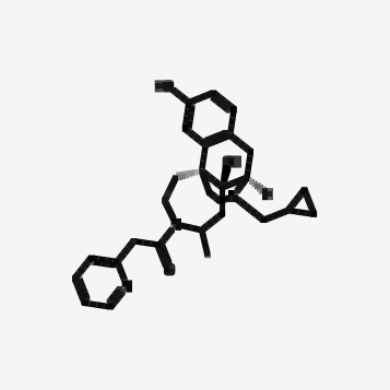 CC1C[C@@]2(O)[C@H]3Cc4ccc(O)cc4[C@]2(CCN1C(=O)Cc1ccccn1)CCN3CC1CC1